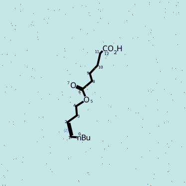 CCCC/C=C\CCOC(=O)CCCCC(=O)O